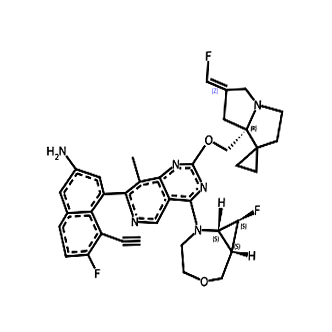 C#Cc1c(F)ccc2cc(N)cc(-c3ncc4c(N5CCOC[C@H]6[C@H](F)[C@H]65)nc(OC[C@]56C/C(=C/F)CN5CCC65CC5)nc4c3C)c12